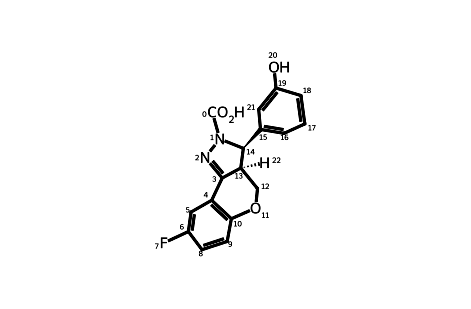 O=C(O)N1N=C2c3cc(F)ccc3OC[C@@H]2[C@@H]1c1cccc(O)c1